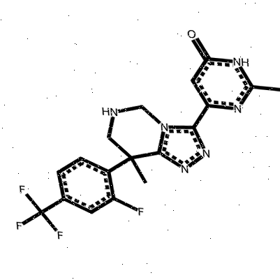 Cc1nc(-c2nnc3n2CNCC3(C)c2ccc(C(F)(F)F)cc2F)cc(=O)[nH]1